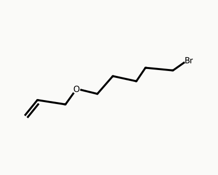 C=CCOCCCCCBr